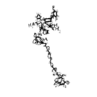 CC(C)(C)[C@H](c1cc(-c2cc(F)ccc2F)cn1Cc1ccccc1)N(CCCN)C(=O)CSC[C@H](NC(=O)CCOCCOCCOCCOCCNC(=O)CN1C(=O)C=CC1=O)C(=O)O